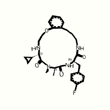 C[C@@H]1C(=O)N[C@H](Cc2ccc(F)cc2)C(=O)NCCCc2ccccc2OCCN[C@@H](C2CC2)C(=O)N1C